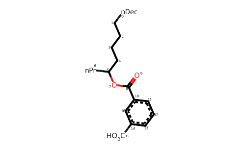 CCCCCCCCCCCCCCC(CCC)OC(=O)c1cccc(C(=O)O)c1